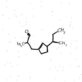 CCC(C)C1C=C(CC(C)C=O)CC1